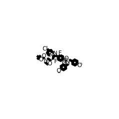 COc1ccc(CN(Cc2ccc(OC)cc2)S(=O)(=O)c2cc(F)c(-c3nc4cc(Cl)ccn4c3C[C@H]3CN(C(=O)OC(C)(C)C)CCO3)c(F)c2)cc1